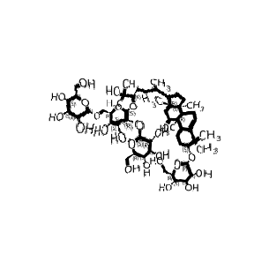 C[C@H](CC[C@@H](O[C@@H]1O[C@H](CO[C@H]2O[C@H](CO)[C@@H](O)[C@H](O)[C@H]2O)[C@@H](O)[C@H](O)[C@H]1O[C@@H]1O[C@H](CO)[C@@H](O)[C@H](O)[C@H]1O)C(C)(C)O)C1CC[C@@]2(C)C3CC=C4C(CC[C@H](O[C@@H]5O[C@H](CO)[C@@H](O)[C@H](O)[C@H]5O)C4(C)C)[C@]3(C)C(=O)C[C@]12C